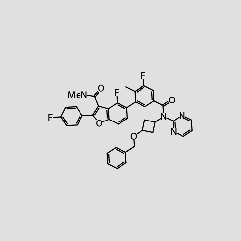 CNC(=O)c1c(-c2ccc(F)cc2)oc2ccc(-c3cc(C(=O)N(c4ncccn4)C4CC(OCc5ccccc5)C4)cc(F)c3C)c(F)c12